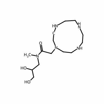 CN(CC(O)CO)C(=O)CN1CCNCCNCCNCC1